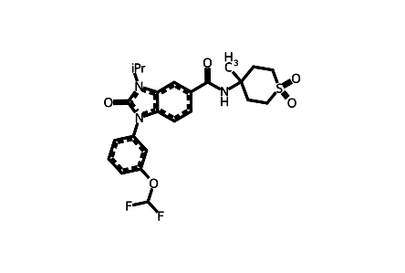 CC(C)n1c(=O)n(-c2cccc(OC(F)F)c2)c2ccc(C(=O)NC3(C)CCS(=O)(=O)CC3)cc21